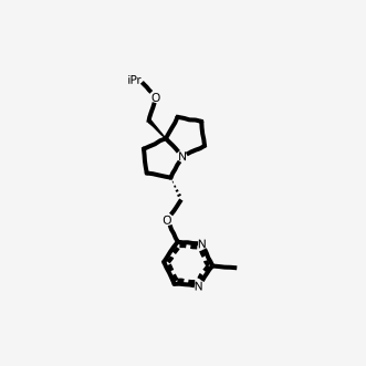 Cc1nccc(OC[C@@H]2CC[C@]3(COC(C)C)CCCN23)n1